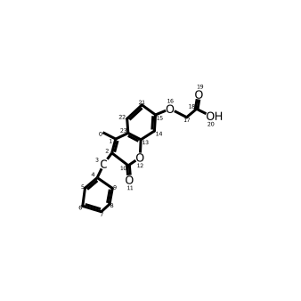 Cc1c(Cc2ccccc2)c(=O)oc2cc(OCC(=O)O)ccc12